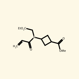 C=CC(=O)N(CC(=O)OCC)C1CC(C(=O)OC)C1